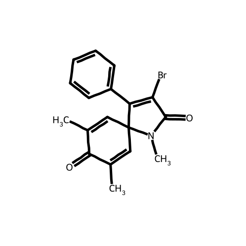 CC1=CC2(C=C(C)C1=O)C(c1ccccc1)=C(Br)C(=O)N2C